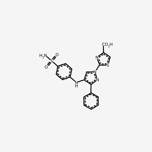 NS(=O)(=O)c1ccc(Nc2cn(-c3nc(C(=O)O)cs3)nc2-c2ccccc2)cc1